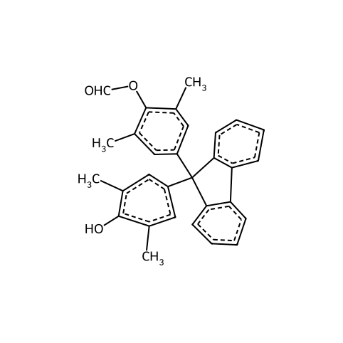 Cc1cc(C2(c3cc(C)c(OC=O)c(C)c3)c3ccccc3-c3ccccc32)cc(C)c1O